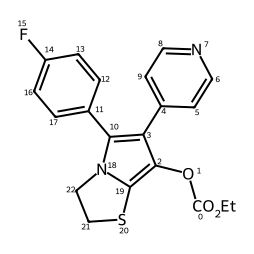 CCOC(=O)Oc1c(-c2ccncc2)c(-c2ccc(F)cc2)n2c1SCC2